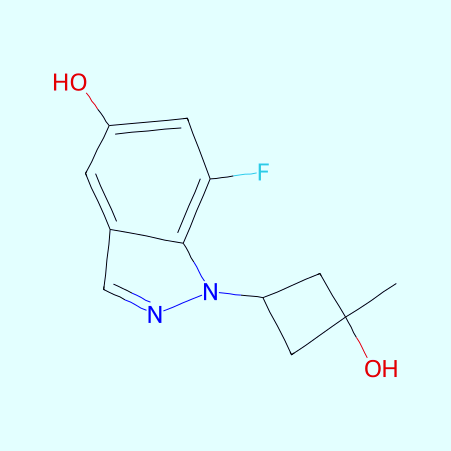 CC1(O)CC(n2ncc3cc(O)cc(F)c32)C1